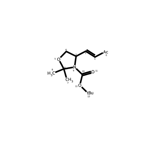 CC(=O)/C=C/C1COC(C)(C)N1C(=O)OC(C)(C)C